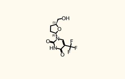 O=c1[nH]c(=O)n([C@H]2CC[C@@H](CO)O2)cc1C(F)(F)F